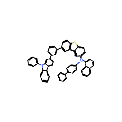 c1ccc(-c2ccc(N(c3ccc4sc5ccc(-c6cccc(-c7ccc8c9ccccc9n(-c9ccccc9)c8c7)c6)cc5c4c3)c3cccc4ccccc34)cc2)cc1